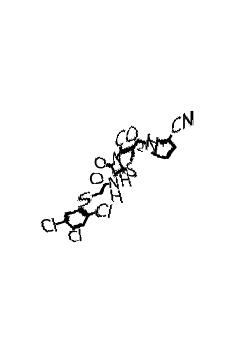 N#Cc1ccc[n+](CC2=C(C(=O)O)N3C(=O)[C@H](NC(=O)CSc4cc(Cl)c(Cl)cc4Cl)[C@H]3SC2)c1